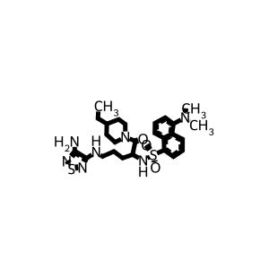 CCC1CCN(C(=O)C(CCCNc2nsnc2N)NS(=O)(=O)c2cccc3c(N(C)C)cccc23)CC1